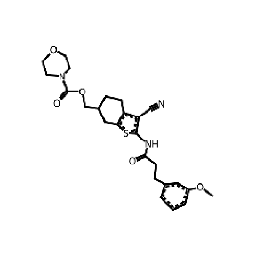 COc1cccc(CCC(=O)Nc2sc3c(c2C#N)CCC(COC(=O)N2CCOCC2)C3)c1